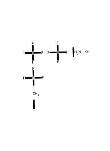 C.CC.CC.F[B-](F)(F)F.F[B-](F)(F)F.F[B-](F)(F)F.N.[KH]